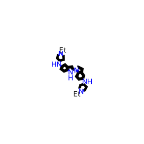 CCN1CCC(Nc2ccc3[nH]c(-n4ccc5cc(NC6CCN(CC)CC6)ccc54)cc3c2)CC1